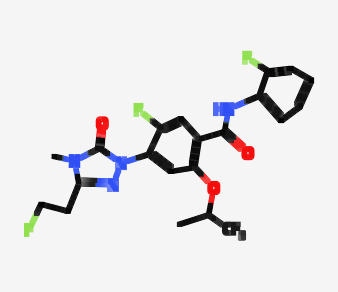 CC(Oc1cc(-n2nc(CCF)n(C)c2=O)c(F)cc1C(=O)Nc1ccccc1F)C(F)(F)F